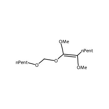 CCCCCOCO/C(OC)=C(/CCCCC)OC